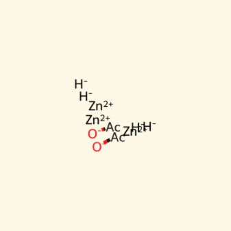 CC(=O)[O-].CC(=O)[O-].[H-].[H-].[H-].[H-].[Zn+2].[Zn+2].[Zn+2]